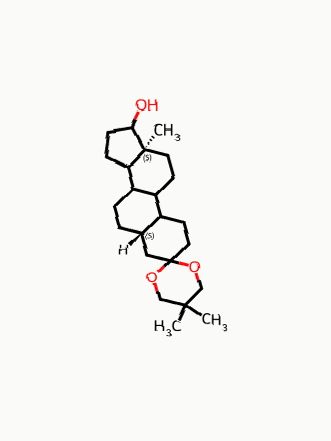 CC1(C)COC2(CCC3C4CC[C@]5(C)C(O)CCC5C4CC[C@H]3C2)OC1